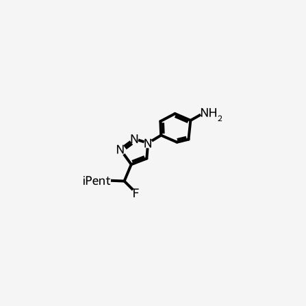 CCCC(C)C(F)c1cn(-c2ccc(N)cc2)nn1